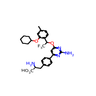 Cc1ccc(C(Oc2cc(-c3ccc(C[C@H](N)C(=O)O)cc3)nc(N)n2)C(F)(F)F)c(OC2CCCCC2)c1